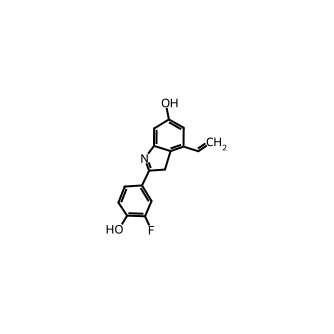 C=Cc1cc(O)cc2c1CC(c1ccc(O)c(F)c1)=N2